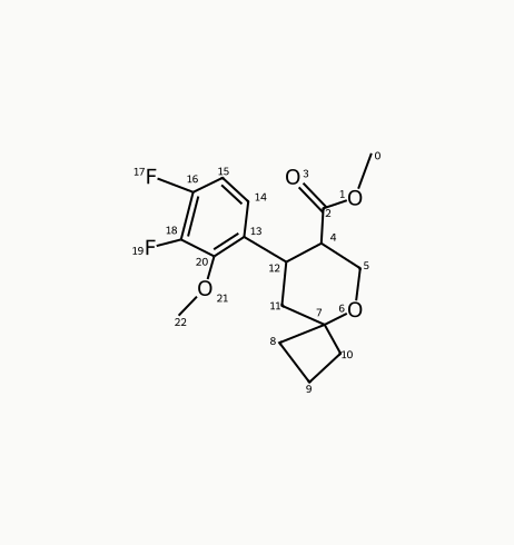 COC(=O)C1COC2(CCC2)CC1c1ccc(F)c(F)c1OC